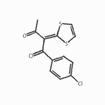 CC(=O)C(C(=O)c1ccc(Cl)cc1)=C1SC=CS1